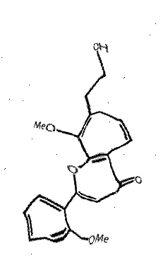 COc1ccccc1-c1cc(=O)c2ccc(CCO)c(OC)c2o1